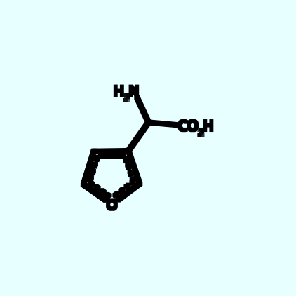 NC(C(=O)O)c1ccoc1